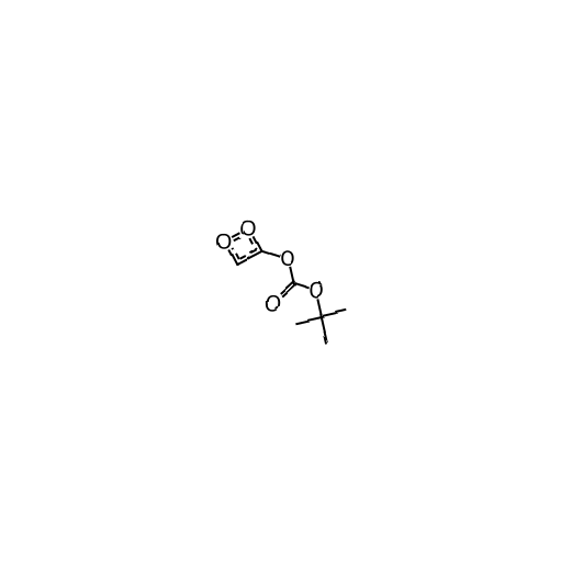 CC(C)(C)OC(=O)Oc1coo1